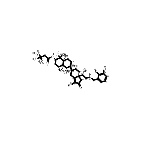 CCC[C@@H]1[C@@]2(C)CC[C@H](OC(=O)CC(C)(C)C(=O)O)C(C)(C)[C@@H]2CC[C@@]1(C)[C@]1(C)CC[C@@]2([C@H](O)CNCc3cccc(Cl)c3F)CC(=O)C(C(C)C)=C2C1